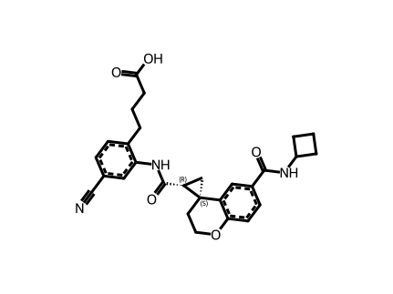 N#Cc1ccc(CCCC(=O)O)c(NC(=O)[C@@H]2C[C@]23CCOc2ccc(C(=O)NC4CCC4)cc23)c1